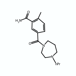 CCCN1CCCN(C(=O)c2ccc(C)c(C(N)=O)c2)CC1